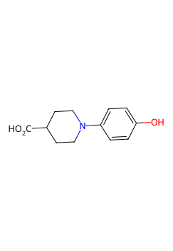 O=C(O)C1CCN(c2ccc(O)cc2)CC1